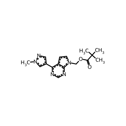 Cn1cc(-c2ncnc3c2ccn3COC(=O)C(C)(C)C)cn1